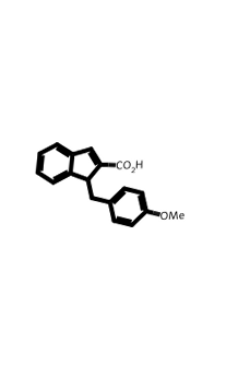 COc1ccc(CC2C(C(=O)O)=Cc3ccccc32)cc1